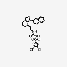 O=C(NCC=C1CCCc2cnn(-c3ccc4ccccc4c3)c21)NS(=O)(=O)c1cc(Cl)c(Cl)s1